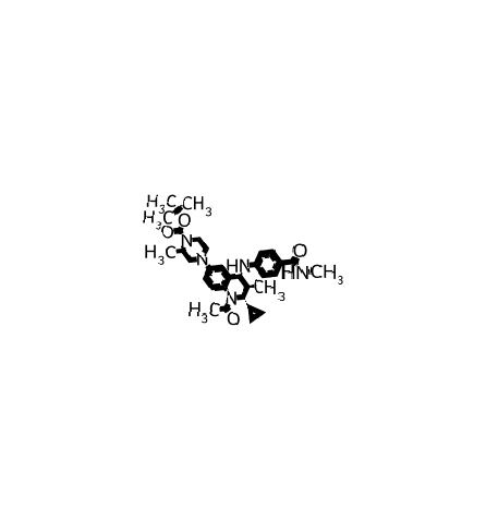 CNC(=O)c1ccc(N[C@H]2c3cc(N4CCN(C(=O)OC(C)(C)C)C(C)C4)ccc3N(C(C)=O)[C@@H](C3CC3)[C@@H]2C)cc1